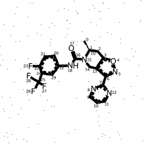 C[C@H]1Cc2onc(-c3ncccn3)c2CN1C(=O)Nc1ccc(F)c(C(F)(F)F)c1